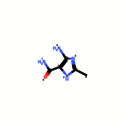 Cc1nc(N)c(C(N)=O)[nH]1